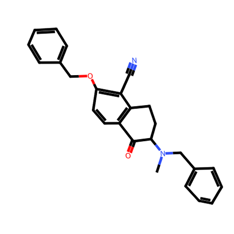 CN(Cc1ccccc1)C1CCc2c(ccc(OCc3ccccc3)c2C#N)C1=O